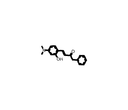 CN(C)c1ccc(C=CC(=O)Cc2ccccc2)c(O)c1